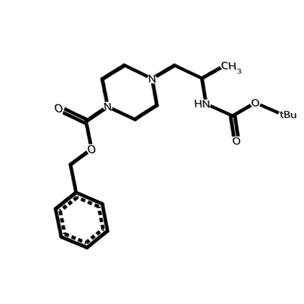 CC(CN1CCN(C(=O)OCc2ccccc2)CC1)NC(=O)OC(C)(C)C